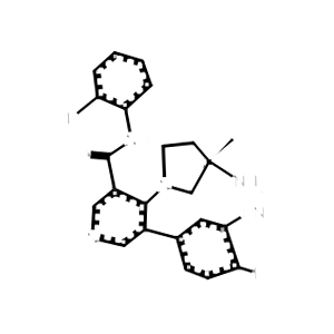 C[C@]1(N)CCN(c2c(C(=O)Nc3ccccc3F)cncc2-c2ccc(F)c(C#N)c2)C1